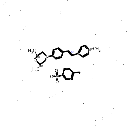 C[C@@H]1CN(c2ccc(/C=C/c3cc[n+](C)cc3)cc2)C[C@H](C)O1.O=S(=O)([O-])c1ccc(F)cc1